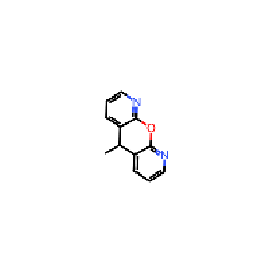 CC1c2cccnc2Oc2ncccc21